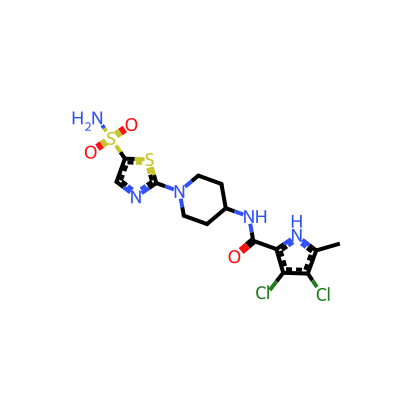 Cc1[nH]c(C(=O)NC2CCN(c3ncc(S(N)(=O)=O)s3)CC2)c(Cl)c1Cl